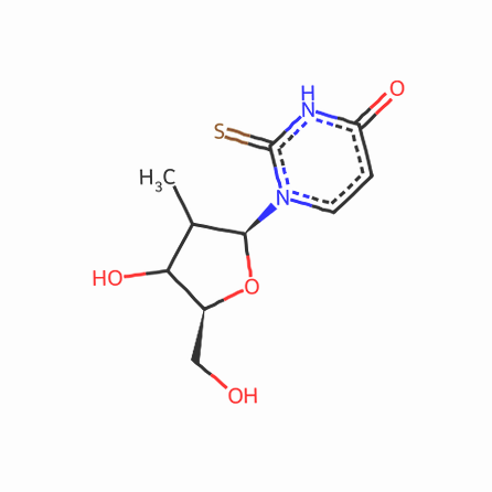 CC1C(O)[C@H](CO)O[C@@H]1n1ccc(=O)[nH]c1=S